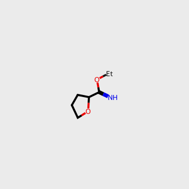 CCOC(=N)C1CCCO1